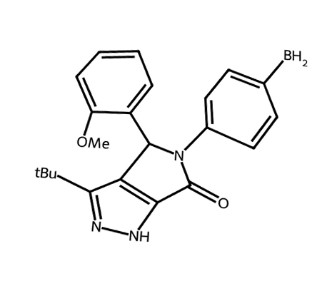 Bc1ccc(N2C(=O)c3[nH]nc(C(C)(C)C)c3C2c2ccccc2OC)cc1